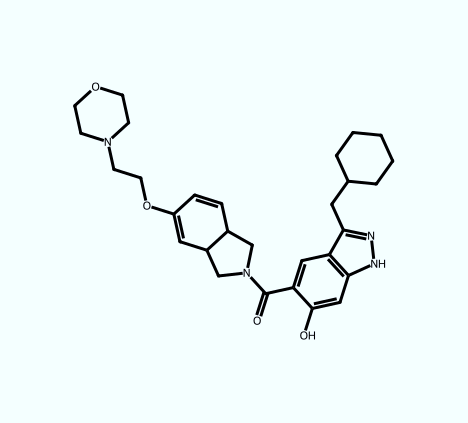 O=C(c1cc2c(CC3CCCCC3)n[nH]c2cc1O)N1CC2C=CC(OCCN3CCOCC3)=CC2C1